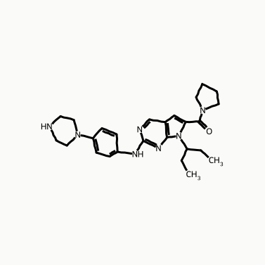 CCC(CC)n1c(C(=O)N2CCCC2)cc2cnc(Nc3ccc(N4CCNCC4)cc3)nc21